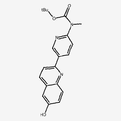 CN(C(=O)OC(C)(C)C)c1ccc(-c2ccc3cc(O)ccc3n2)cn1